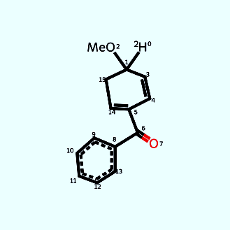 [2H]C1(OC)C=CC(C(=O)c2ccccc2)=CC1